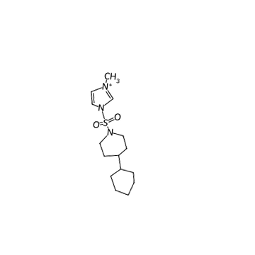 C[n+]1ccn(S(=O)(=O)N2CCC(C3CCCCC3)CC2)c1